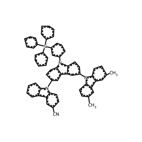 Cc1ccc2c(c1)c1cc(C)ccc1n2-c1ccc2c(c1)c1cc(-n3c4ccccc4c4cc(C#N)ccc43)ccc1n2-c1cccc([Si](c2ccccc2)(c2ccccc2)c2ccccc2)c1